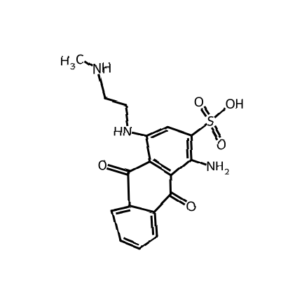 CNCCNc1cc(S(=O)(=O)O)c(N)c2c1C(=O)c1ccccc1C2=O